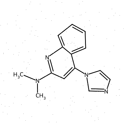 CN(C)c1cc(-n2ccnc2)c2ccccc2n1